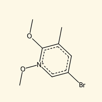 COc1c(C)cc(Br)c[n+]1OC